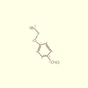 CC(C)(C)COc1ccc(C=O)cc1